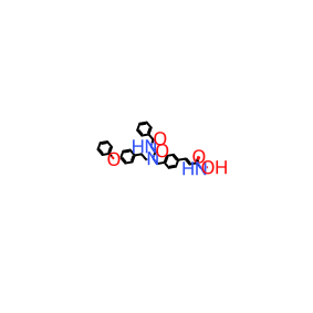 O=C(C=Cc1ccc(CN(CCc2ccc(Oc3ccccc3)cc2)C(=O)NC(=O)c2ccccc2)cc1)NO